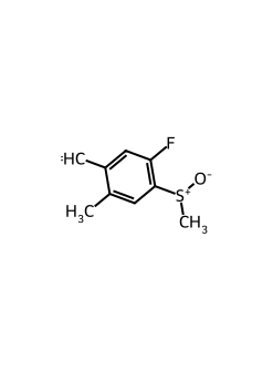 [CH]c1cc(F)c([S+](C)[O-])cc1C